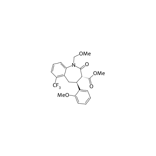 COCN1C(=O)[C@H](C(=O)OC)[C@@H](c2ccccc2OC)Cc2c1cccc2C(F)(F)F